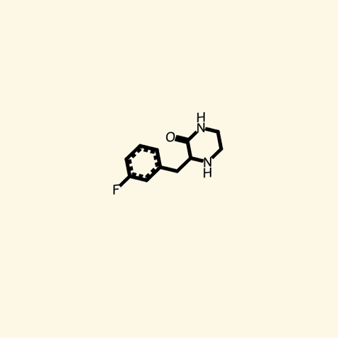 O=C1NCCNC1Cc1cccc(F)c1